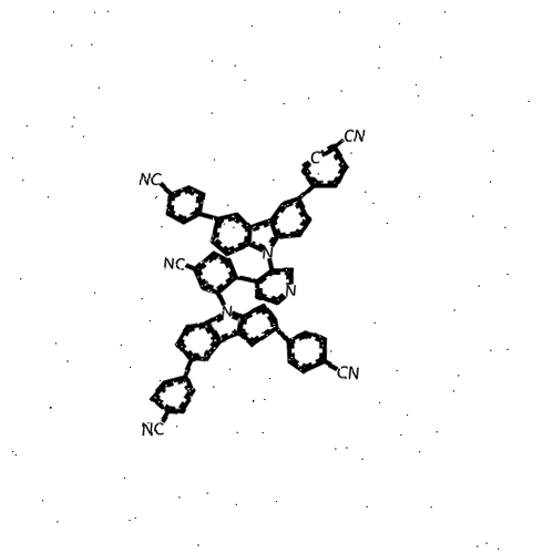 N#Cc1ccc(-c2ccc3c(c2)c2cc(-c4ccc(C#N)cc4)ccc2n3-c2cnccc2-c2ccc(C#N)cc2-n2c3ccc(-c4ccc(C#N)cc4)cc3c3cc(-c4ccc(C#N)cc4)ccc32)cc1